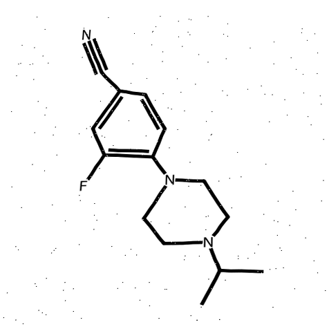 CC(C)N1CCN(c2ccc(C#N)cc2F)CC1